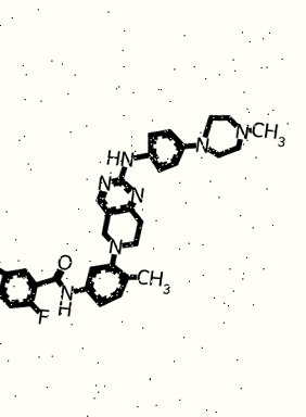 Cc1ccc(NC(=O)c2cc(C(F)(F)F)ccc2F)cc1N1CCc2nc(Nc3ccc(N4CCN(C)CC4)cc3)ncc2C1